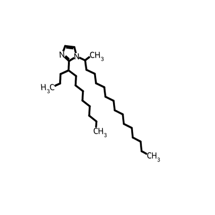 CCCCCCCCCCCCCCC(C)n1ccnc1C(CCC)CCCCCCCC